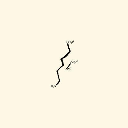 NC(=O)O.NCCCCCC(=O)O